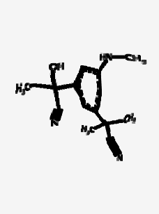 CNc1cc(C(C)(C)C#N)cc(C(C)(O)C#N)c1